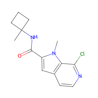 Cn1c(C(=O)NC2(C)CCC2)cc2ccnc(Cl)c21